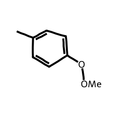 COOc1ccc(C)cc1